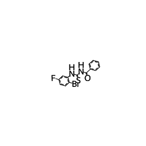 O=C(NC(=S)Nc1cc(F)ccc1Br)c1ccccc1